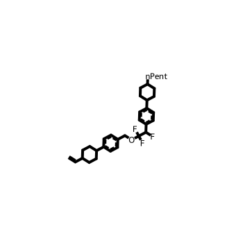 C=CC1CCC(c2ccc(COC(F)(F)C(F)c3ccc(C4CCC(CCCCC)CC4)cc3)cc2)CC1